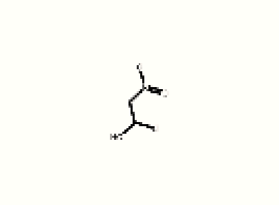 O=[N+]([O-])CC(O)Cl